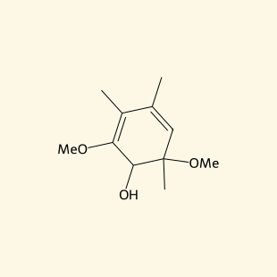 COC1=C(C)C(C)=CC(C)(OC)C1O